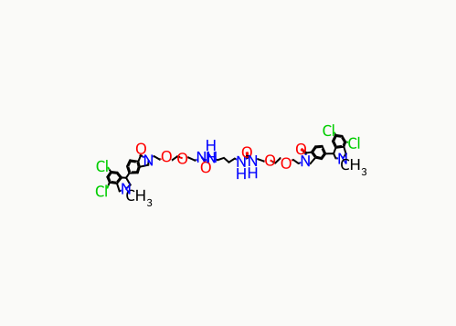 CN1Cc2c(Cl)cc(Cl)cc2C(c2ccc3c(c2)CN(CCOCCOCCNC(=O)NCCCCNC(=O)NCCOCCOCCN2Cc4cc(C5CN(C)Cc6c(Cl)cc(Cl)cc65)ccc4C2=O)C3=O)C1